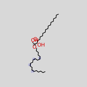 CCCCC/C=C\C/C=C\C/C=C\C/C=C\CCCCO[C@@H](CO)C(O)C(=O)CCCCCCCCCCCCCCC